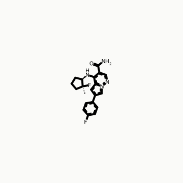 C[C@]1(F)CCC[C@H]1Nc1c(C(N)=O)cnn2cc(-c3ccc(F)cc3)cc12